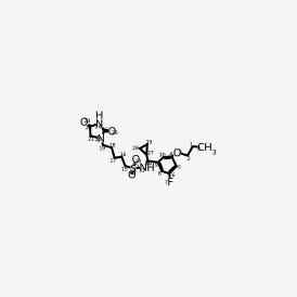 CCCOc1cc(F)cc([C@H](NS(=O)(=O)CCCCCN2CC(=O)NC2=O)C2CC2)c1